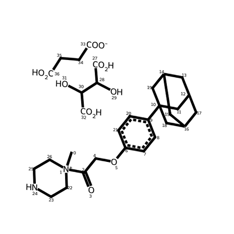 C[N+]1(C(=O)COc2ccc(C34CC5CC(CC(C5)C3)C4)cc2)CCNCC1.O=C(O)C(O)C(O)C(=O)O.O=C([O-])CCC(=O)O